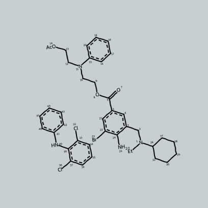 CCN(Cc1cc(C(=O)OCCN(CCOC(C)=O)c2ccccc2)cc(Br)c1N)C1CCCCC1.Clc1cccc(Cl)c1Nc1ccccc1